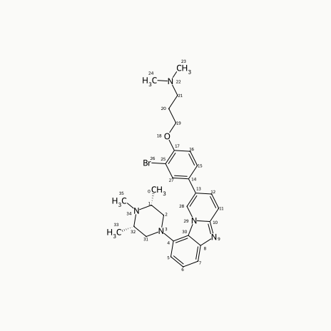 C[C@@H]1CN(c2cccc3nc4ccc(-c5ccc(OCCCN(C)C)c(Br)c5)cn4c23)C[C@H](C)N1C